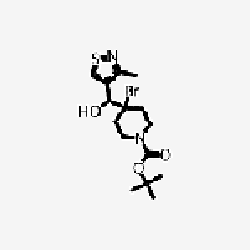 Cc1nscc1C(O)C1(Br)CCN(C(=O)OC(C)(C)C)CC1